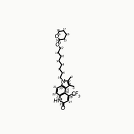 Cc1c(C)n(CCCCCCCCOC2CCCCO2)c2ccc3[nH]c(=O)cc(C(F)(F)F)c3c12